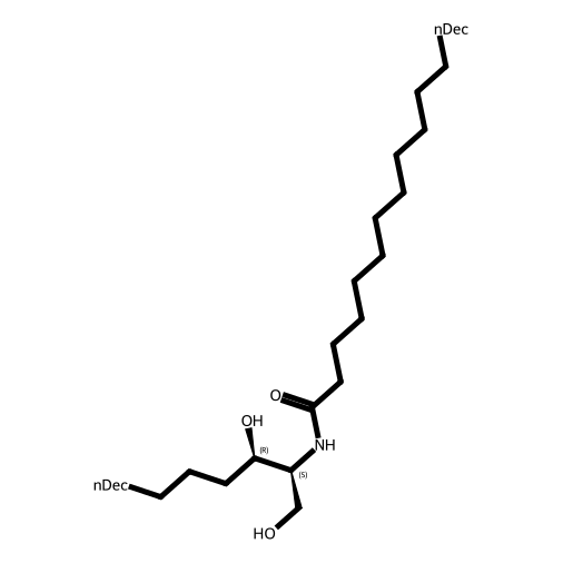 CCCCCCCCCCCCCCCCCCCCCC(=O)N[C@@H](CO)[C@H](O)CCCCCCCCCCCCC